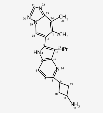 Cc1c(-c2[nH]c3ccc(C4CC(N)C4)nc3c2C(C)C)cn2ncnc2c1C